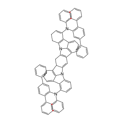 C1=C(N(c2ccccc2)c2cc(-c3ccccc3)ccc2-c2ccccc2)c2c(n3c4c(c5cccc2c53)C=C2C(C4)c3cccc4c5c(N(c6ccccc6)c6cc(-c7ccccc7)ccc6-c6ccccc6)cccc5n2c34)CC1